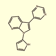 c1c[nH]c(-n2cc(-c3cncnc3)c3cccnc32)c1